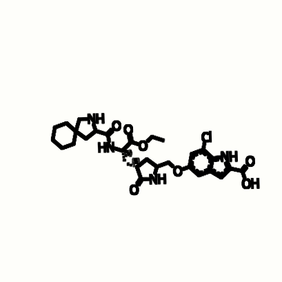 CCOC(=O)[C@H](C[C@@H]1CC(COc2cc(Cl)c3[nH]c(C(=O)O)cc3c2)NC1=O)NC(=O)C1CC2(CCCCC2)CN1